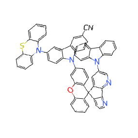 N#Cc1ccc2c(c1)c1cc(N3c4ccccc4Sc4ccccc43)ccc1n2-c1ccc2c(c1)Oc1ccccc1C21c2cccnc2-c2ncc(-n3c4ccccc4c4ccccc43)cc21